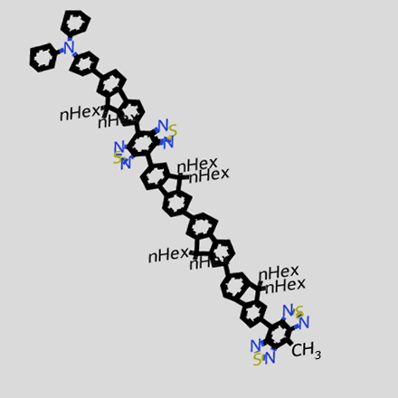 CCCCCCC1(CCCCCC)c2cc(-c3ccc4c(c3)C(CCCCCC)(CCCCCC)c3cc(-c5c6c(c(C)c7nsnc57)N=S=N6)ccc3-4)ccc2-c2ccc(-c3ccc4c(c3)C(CCCCCC)(CCCCCC)c3cc(-c5c6c(c(-c7ccc8c(c7)C(CCCCCC)(CCCCCC)c7cc(-c9ccc(N(c%10ccccc%10)c%10ccccc%10)cc9)ccc7-8)c7nsnc57)N=S=N6)ccc3-4)cc21